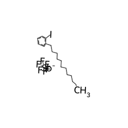 CCCCCCCCCCCCc1ccccc1I.[F][Sb-]([F])([F])([F])([F])[F]